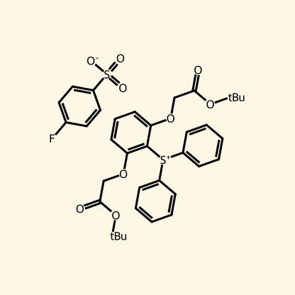 CC(C)(C)OC(=O)COc1cccc(OCC(=O)OC(C)(C)C)c1[S+](c1ccccc1)c1ccccc1.O=S(=O)([O-])c1ccc(F)cc1